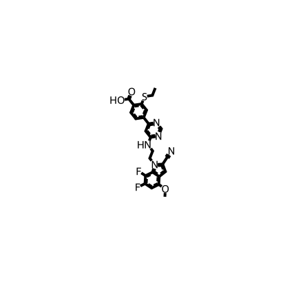 CCSc1cc(-c2cc(NCCn3c(C#N)cc4c(OC)cc(F)c(F)c43)ncn2)ccc1C(=O)O